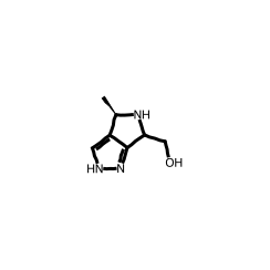 C[C@H]1NC(CO)c2n[nH]cc21